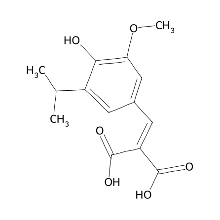 COc1cc(C=C(C(=O)O)C(=O)O)cc(C(C)C)c1O